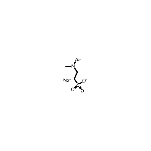 CC(=O)N(C)CCS(=O)(=O)[O-].[Na+]